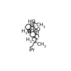 CC(C)CCC[C@@H](C)[C@H]1CC[C@H]2[C@@H]3C(=O)[C@H](C(C)O)[C@@H]4CCCC[C@]4(C)[C@H]3CC[C@]12C